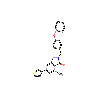 Cc1cc(-c2ccsc2)cc2c1C(=O)N(Cc1ccc(Oc3ccccc3)cc1)C2